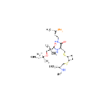 CC(P)CCNC(=O)C(CSC1CCC1SCC(NC(C)C)C(=O)O)NC(=O)C(C)(C)COC(C)(C)CC=O